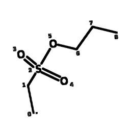 [CH2]CS(=O)(=O)OCCC